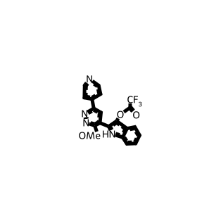 COc1nnc(-c2ccncc2)cc1-c1[nH]c2ccccc2c1OC(=O)C(F)(F)F